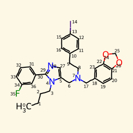 CCCCn1c(CN(CCc2ccc(I)cc2)Cc2ccc3c(c2)OCO3)cnc1-c1cccc(F)c1